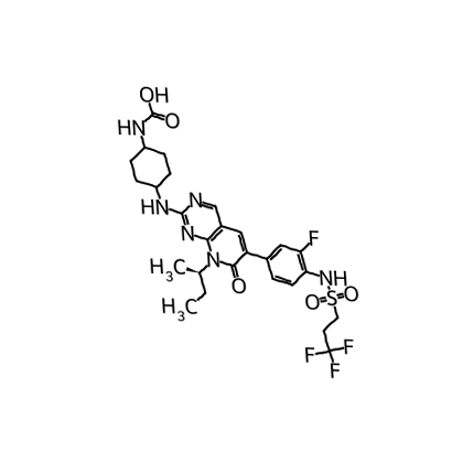 CC[C@@H](C)n1c(=O)c(-c2ccc(NS(=O)(=O)CCC(F)(F)F)c(F)c2)cc2cnc(NC3CCC(NC(=O)O)CC3)nc21